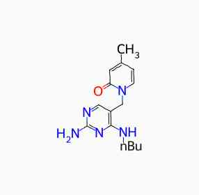 CCCCNc1nc(N)ncc1Cn1ccc(C)cc1=O